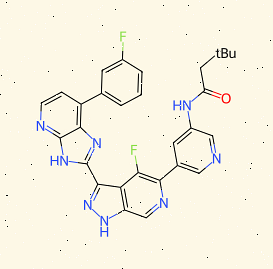 CC(C)(C)CC(=O)Nc1cncc(-c2ncc3[nH]nc(-c4nc5c(-c6cccc(F)c6)ccnc5[nH]4)c3c2F)c1